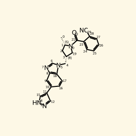 C[C@H]1C[C@@H](Cn2cnc3cc(-c4cn[nH]c4)ccc32)CN1C(=O)c1ccccc1C#N